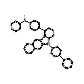 CN(c1ccccc1)c1ccc(-c2cccc3c2c2cc4ccccc4cc2n3-c2ccc(-c3ccccc3)cc2)cc1